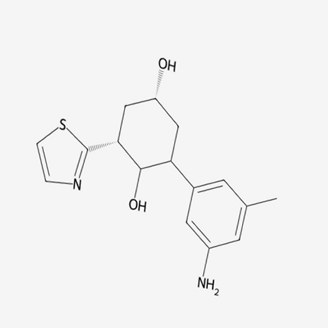 Cc1cc(N)cc(C2C[C@@H](O)C[C@@H](c3nccs3)C2O)c1